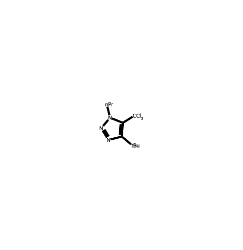 CCCn1nnc(C(C)(C)C)c1C(Cl)(Cl)Cl